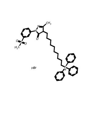 Br.CC1=NN(c2cccc(S(C)(=O)=O)c2)C(=O)C1CCCCCCCCCC[PH](c1ccccc1)(c1ccccc1)c1ccccc1